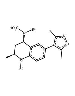 CC(=O)N1c2ccc(-c3c(C)noc3C)cc2[C@H](N(C(=O)O)C(C)C)C[C@@H]1C